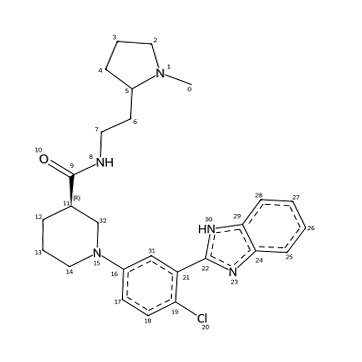 CN1CCCC1CCNC(=O)[C@@H]1CCCN(c2ccc(Cl)c(-c3nc4ccccc4[nH]3)c2)C1